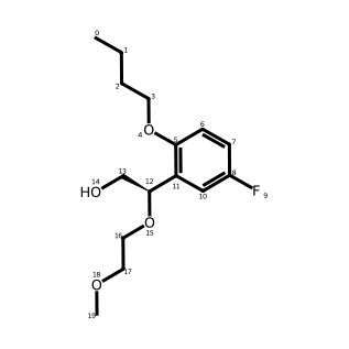 CCCCOc1ccc(F)cc1[C@H](CO)OCCOC